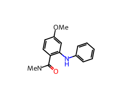 CNC(=O)c1ccc(OC)cc1Nc1ccccc1